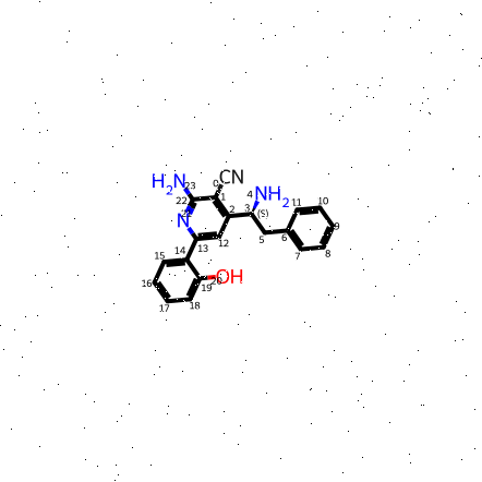 N#Cc1c([C@@H](N)Cc2ccccc2)cc(-c2ccccc2O)nc1N